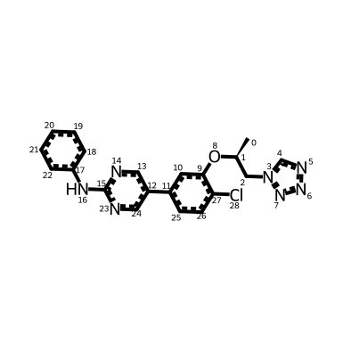 C[C@@H](Cn1cnnn1)Oc1cc(-c2cnc(Nc3ccccc3)nc2)ccc1Cl